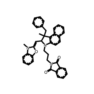 CN1/C(=C/C2N(CCCN3C(=O)c4ccccc4C3=O)c3ccc4ccccc4c3C2(C)Cc2ccccc2)Oc2ccccc21